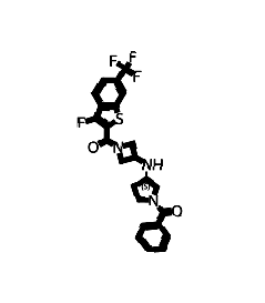 O=C(c1ccccc1)N1CC[C@H](NC2CN(C(=O)c3sc4cc(C(F)(F)F)ccc4c3F)C2)C1